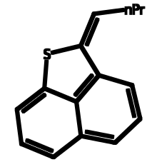 CCC/C=c1/sc2cccc3cccc1c32